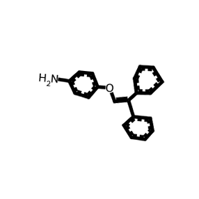 Nc1ccc(OC=C(c2ccccc2)c2ccccc2)cc1